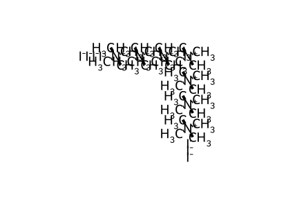 C[N+](C)(C)C.C[N+](C)(C)C.C[N+](C)(C)C.C[N+](C)(C)C.C[N+](C)(C)C.C[N+](C)(C)C.C[N+](C)(C)C.[I-].[I-].[I-].[I-].[I-].[I-].[I-]